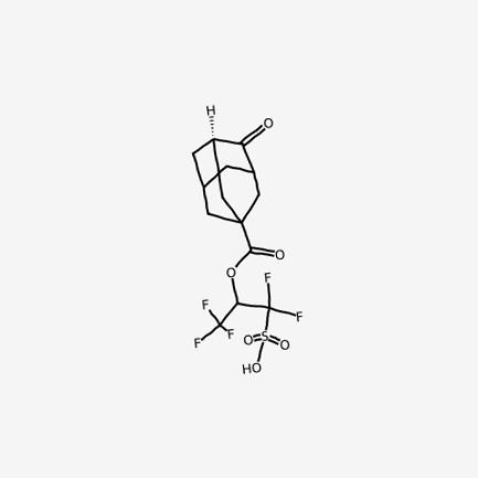 O=C1C2CC3C[C@@H]1CC(C(=O)OC(C(F)(F)F)C(F)(F)S(=O)(=O)O)(C3)C2